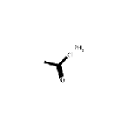 CC(=O)Cl.P